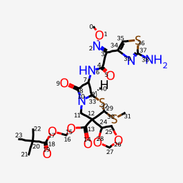 CON=C(C(=O)NC1C(=O)N2CC(C(=O)OCOC(=O)C(C)(C)C)(C3COCO3)C(SC)S[C@H]12)c1csc(N)n1